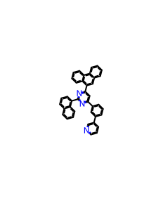 c1cncc(-c2cccc(-c3cc(-c4cc5ccccc5c5ccccc45)nc(-c4cccc5ccccc45)n3)c2)c1